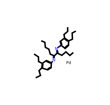 CCCCCC(=Nc1ccc(CCC)c(CCC)c1)C(CCCC)=Nc1ccc(CCC)c(CCC)c1.[Pd]